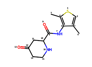 Cc1csc(C)c1NC(=O)C1CC(=O)CCN1